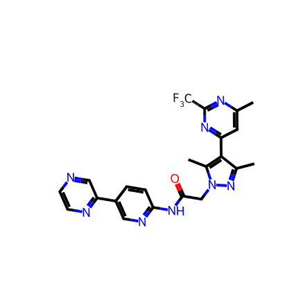 Cc1cc(-c2c(C)nn(CC(=O)Nc3ccc(-c4cnccn4)cn3)c2C)nc(C(F)(F)F)n1